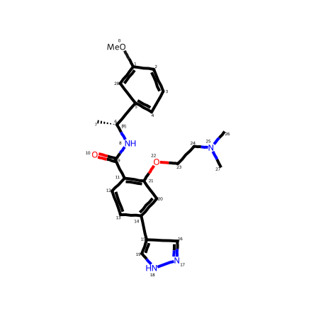 COc1cccc([C@@H](C)NC(=O)c2ccc(-c3cn[nH]c3)cc2OCCN(C)C)c1